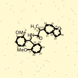 COc1ccccc1C(NC(=O)C(C)c1ccc2occc2c1)c1ccccc1OC